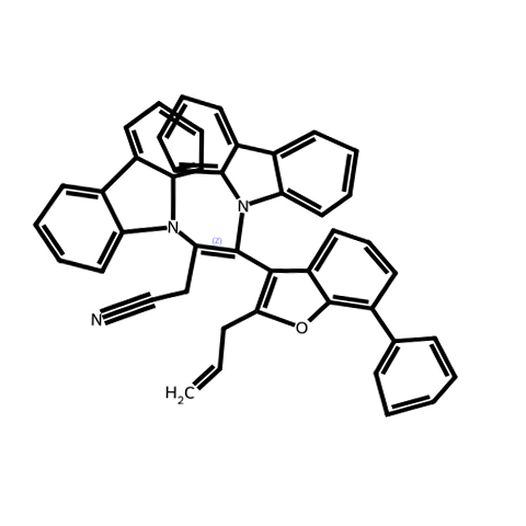 C=CCc1oc2c(-c3ccccc3)cccc2c1/C(=C(\CC#N)n1c2ccccc2c2ccccc21)n1c2ccccc2c2ccccc21